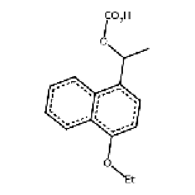 CCOc1ccc(C(C)OC(=O)O)c2ccccc12